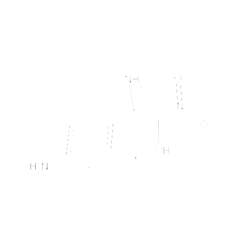 Nc1ccc(C(N)C(O)[N+](=O)[O-])c(Cl)c1